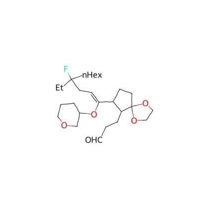 CCCCCCC(F)(CC)CC=C(OC1CCCOC1)C1CCC2(OCCO2)C1CCC=O